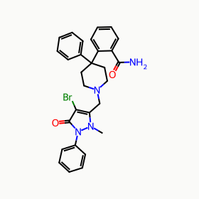 Cn1c(CN2CCC(c3ccccc3)(c3ccccc3C(N)=O)CC2)c(Br)c(=O)n1-c1ccccc1